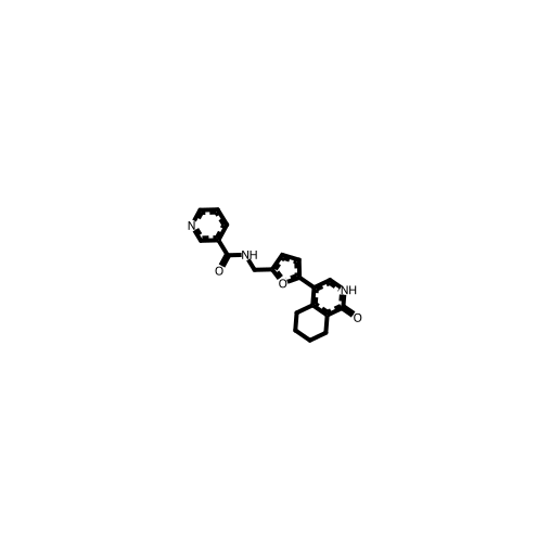 O=C(NCc1ccc(-c2c[nH]c(=O)c3c2CCCC3)o1)c1cccnc1